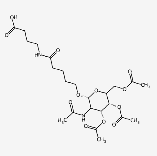 CC(=O)NC1[C@H](OCCCCC(=O)NCCCC(=O)O)OC(COC(C)=O)[C@H](OC(C)=O)[C@@H]1OC(C)=O